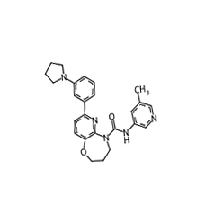 Cc1cncc(NC(=O)N2CCCOc3ccc(-c4cccc(N5CCCC5)c4)nc32)c1